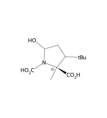 CC(C)(C)C1CC(O)N(C(=O)O)[C@]1(C)C(=O)O